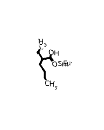 CCCCC(CC)C(=O)O.[Eu].[Sm]